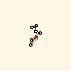 c1ccc2c(c1)oc1c(Oc3ncc(-n4c5ccccc5c5cc(-n6c7ccccc7c7ccccc76)ccc54)cn3)cccc12